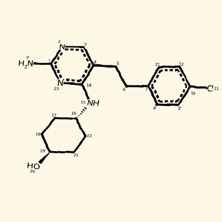 Nc1ncc(CCc2ccc(Cl)cc2)c(N[C@H]2CC[C@H](O)CC2)n1